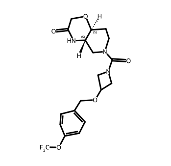 O=C1CO[C@H]2CCN(C(=O)N3CC(OCc4ccc(OC(F)(F)F)cc4)C3)C[C@@H]2N1